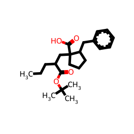 CCCC(CC1(C(=O)O)CCCC1Cc1ccccc1)C(=O)OC(C)(C)C